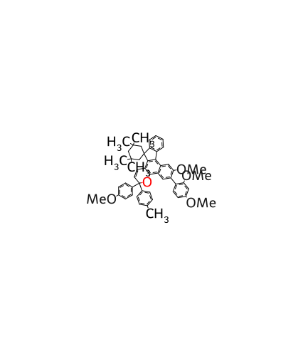 COc1ccc(C2(c3ccc(C)cc3)C=Cc3c4c(c5cc(OC)c(-c6ccc(OC)cc6OC)cc5c3O2)-c2ccccc2C42CC(C)(C)CC(C)(C)C2)cc1